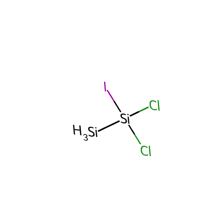 [SiH3][Si](Cl)(Cl)I